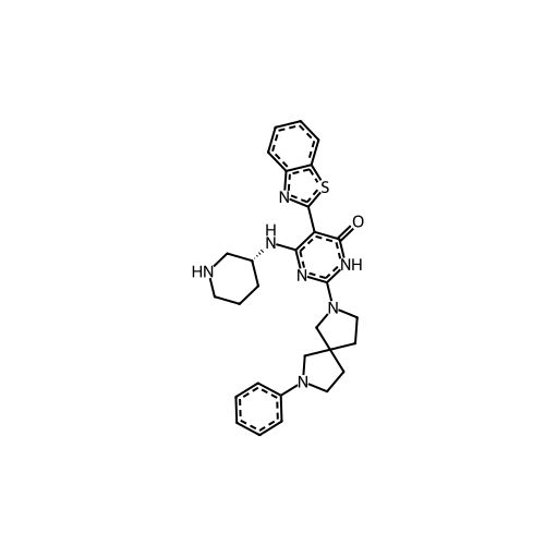 O=c1[nH]c(N2CCC3(CCN(c4ccccc4)C3)C2)nc(N[C@@H]2CCCNC2)c1-c1nc2ccccc2s1